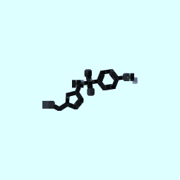 Cc1ccc(S(=O)(=O)NC2C=CC(CO)C2)cc1